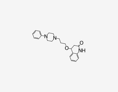 O=C1CC(OCCCN2CCN(c3ccccc3)CC2)c2ccccc2N1